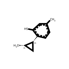 Cc1ccc([C@@H]2C[C@@H]2C)c(S)c1